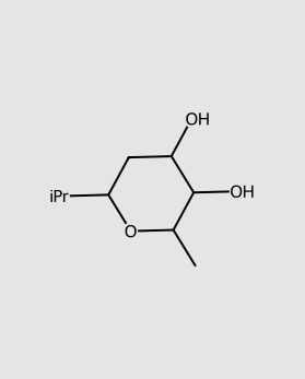 CC(C)C1CC(O)C(O)C(C)O1